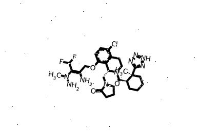 CN(N)/C(=C(\N)COc1ccc(Cl)c2c1[C@@H](CN1CCCC1=O)N(C(=O)[C@@H]1CCCC[C@]1(C)c1nn[nH]n1)CC2)C(F)F